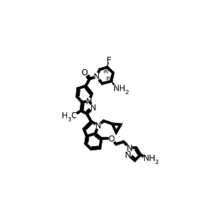 Cc1c(-c2cc3cccc(OCCn4cc(N)cn4)c3n2CC2CC2)nn2cc(C(=O)N3C[C@H](N)C[C@@H](F)C3)ccc12